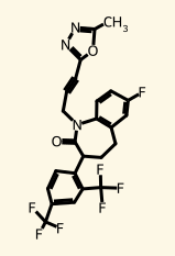 Cc1nnc(C#CCN2C(=O)C(c3ccc(C(F)(F)F)cc3C(F)(F)F)CCc3cc(F)ccc32)o1